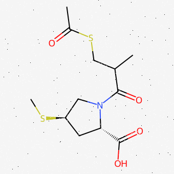 CS[C@@H]1C[C@@H](C(=O)O)N(C(=O)C(C)CSC(C)=O)C1